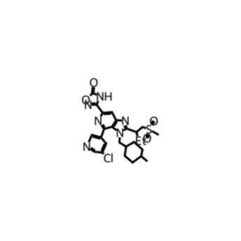 CCC(CS(C)(=O)=O)c1nc2cc(-c3noc(=O)[nH]3)nc(-c3cncc(Cl)c3)c2n1CC1CCC(C)CC1